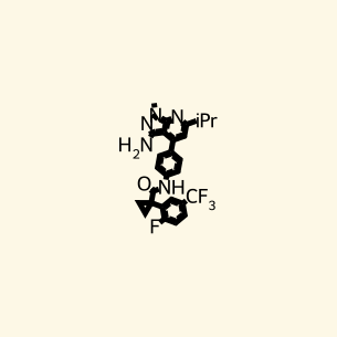 CC(C)c1cc(-c2ccc(NC(=O)C3(c4cc(C(F)(F)F)ccc4F)CC3)cc2)c2c(N)nn(C)c2n1